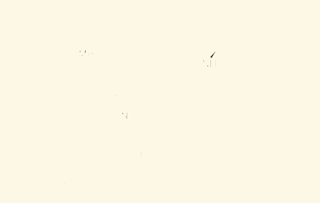 COc1ccc(S(=O)(=O)N[C@H]2CCOC2)cc1C(=O)Nc1ccc(Cl)cc1F